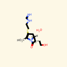 N=CNCCSC1=C(C(=O)O)N2C(=O)[C@@H](CCO)[C@H]2C1.O